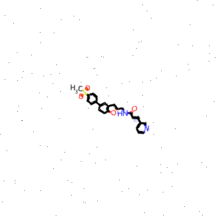 CS(=O)(=O)c1ccc(-c2ccc3c(c2)CC(CNC(=O)/C=C/c2cccnc2)O3)cc1